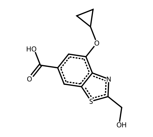 O=C(O)c1cc(OC2CC2)c2nc(CO)sc2c1